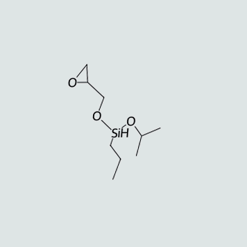 CCC[SiH](OCC1CO1)OC(C)C